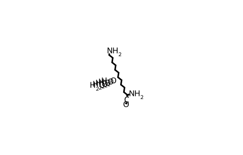 NCCCCCCCCCCCC(N)=C=O.O.O.O.O.O